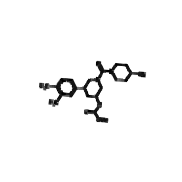 COC(=O)OC1CC(c2ccc(C)c(C)c2)CN(C(=O)N2CCC(C#N)CC2)C1